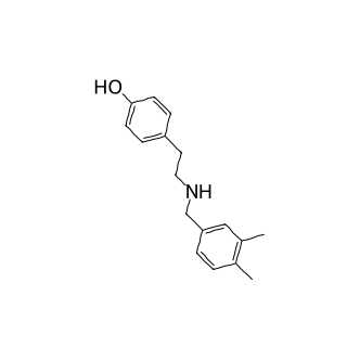 Cc1ccc(CNCCc2ccc(O)cc2)cc1C